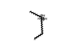 CCCCCCC/C=C/C=C/[C@@H](O)[C@H](CO)NC(=O)CCCCCCCCCCC/C=C\CCCCCCCC